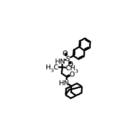 CC(C)(CC(=O)NC12CC3CC(CC(C3)C1)C2)NS(=O)(=O)c1ccc2ccccc2c1